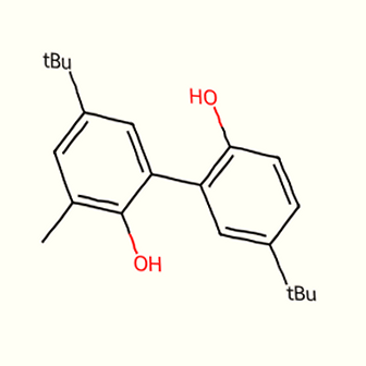 Cc1cc(C(C)(C)C)cc(-c2cc(C(C)(C)C)ccc2O)c1O